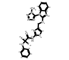 Cn1nnnc1-n1c(OCc2csc(NC(=O)C(F)(F)Oc3ccccc3)n2)nc2ccccc21